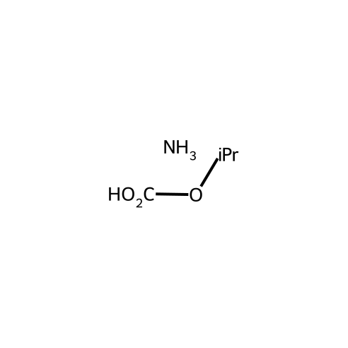 CC(C)OC(=O)O.N